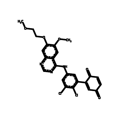 COCCOc1cc2ncnc(Nc3cc(Cl)c(Cl)c(C4=CC(=O)C=CC4=O)c3)c2cc1OC